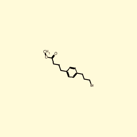 COC(=O)CCCc1ccc(CCCBr)cc1